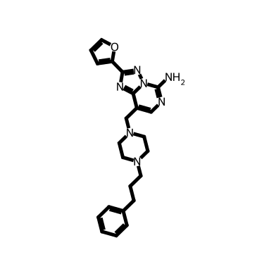 Nc1ncc(CN2CCN(CCCc3ccccc3)CC2)c2nc(-c3ccco3)nn12